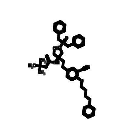 CC(C)(C)OC(=O)NC(CO)(CCc1ccc(OCCCCc2ccccc2)c(C#N)c1)COP(=O)(Cc1ccccc1)Cc1ccccc1